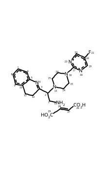 NCC(C1=Nc2ccccc2CC1)N1CCN(c2ncc(F)cn2)CC1.O=C(O)/C=C/C(=O)O